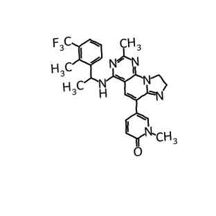 Cc1nc(NC(C)c2cccc(C(F)(F)F)c2C)c2c(n1)N1CCN=C1C(c1ccc(=O)n(C)c1)=C2